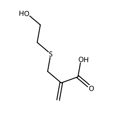 C=C(CSCCO)C(=O)O